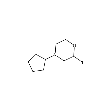 IC1CN(C2CCCC2)CCO1